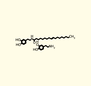 CCCCCCCCC=CCCCCCCCC(=O)NCCc1ccc(O)c(O)c1.NCCc1ccc(O)c(O)c1